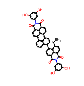 BC(C)c1ccc2c3c(ccc(-c4ccc5c6ccc7c8c(ccc(c9cccc4c95)c86)C(=O)N(c4cc(O)cc(O)c4)C7=O)c13)C(=O)N(c1cc(O)cc(O)c1)C2=O